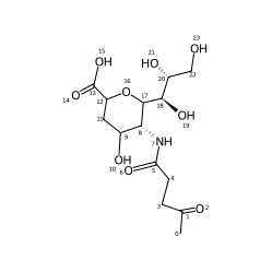 CC(=O)CCC(=O)N[C@@H]1C(O)CC(C(=O)O)OC1[C@H](O)[C@H](O)CO